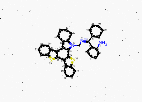 Nc1ccccc1/C(=N\Cn1c2ccccc2c2c3c4ccccc4sc3c3c4ccccc4sc3c21)c1ccccc1